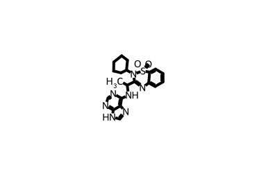 CC(Nc1ncnc2[nH]cnc12)C1=Nc2ccccc2S(=O)(=O)N1C1CCCCC1